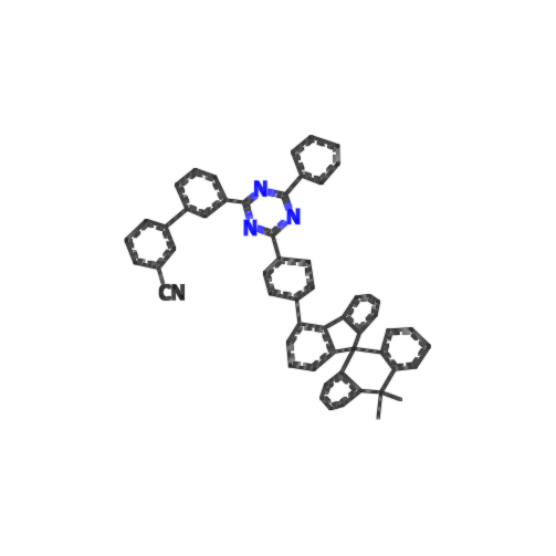 CC1(C)c2ccccc2C2(c3ccccc3-c3c(-c4ccc(-c5nc(-c6ccccc6)nc(-c6cccc(-c7cccc(C#N)c7)c6)n5)cc4)cccc32)c2ccccc21